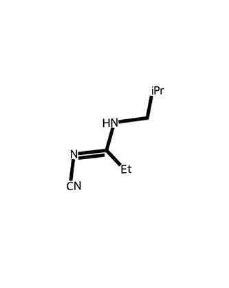 CC/C(=N\C#N)NCC(C)C